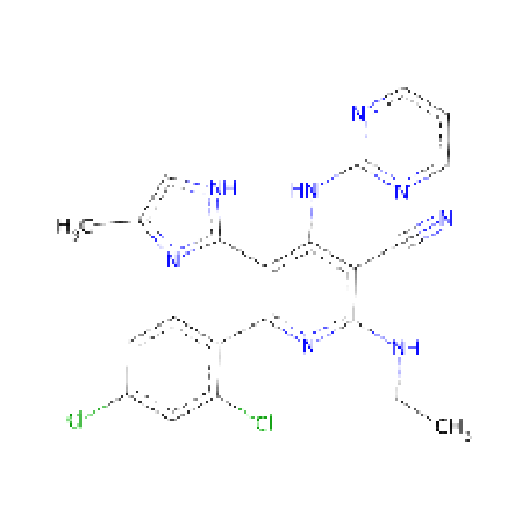 CCNc1nc(-c2ccc(Cl)cc2Cl)c(-c2nc(C)c[nH]2)c(Nc2ncccn2)c1C#N